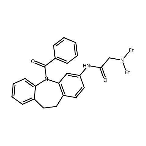 CCN(CC)CC(=O)Nc1ccc2c(c1)N(C(=O)c1ccccc1)c1ccccc1CC2